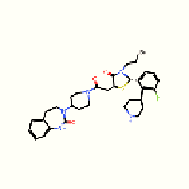 CC(C)(C)CCN1C(=O)[C@H](CC(=O)N2CCC(N3CCc4ccccc4NC3=O)CC2)S[C@H]1c1cccc(F)c1C1CCNCC1